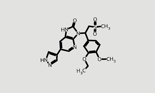 CCOc1cc(C(CS(C)(=O)=O)n2c(=O)[nH]c3cc(-c4cn[nH]c4)cnc32)ccc1OC